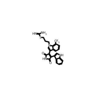 N=C(N)SCCCn1cc(C2=C(c3c[nH]c4ccccc34)C(=O)NC2=O)c2cccc(C(F)(F)F)c21